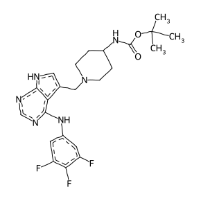 CC(C)(C)OC(=O)NC1CCN(Cc2c[nH]c3ncnc(Nc4cc(F)c(F)c(F)c4)c23)CC1